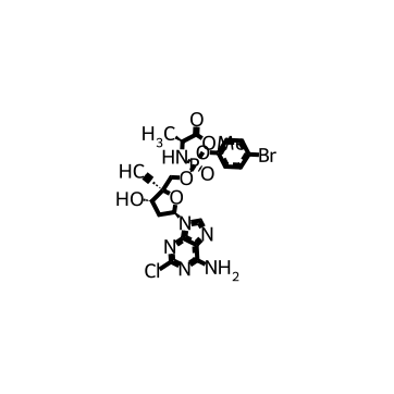 C#C[C@]1(COP(=O)(N[C@@H](C)C(=O)OC)Oc2ccc(Br)cc2)O[C@@H](n2cnc3c(N)nc(Cl)nc32)C[C@@H]1O